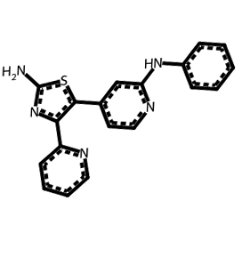 Nc1nc(-c2ccccn2)c(-c2ccnc(Nc3ccccc3)c2)s1